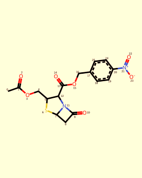 CC(=O)OCC1SC2CC(=O)N2C1C(=O)OCc1ccc([N+](=O)[O-])cc1